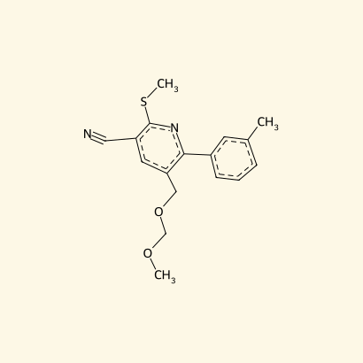 COCOCc1cc(C#N)c(SC)nc1-c1cccc(C)c1